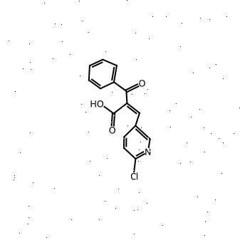 O=C(O)/C(=C\c1ccc(Cl)nc1)C(=O)c1ccccc1